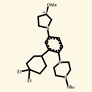 CCCCN1CCN(c2ccc(N3CC[C@@H](OC)C3)cc2C2CCC(CC)(CC)CC2)CC1